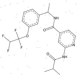 CC(C)C(=O)Nc1cc(C(=O)NC(C)c2cccc(OC(F)(F)C(F)F)c2)ccn1